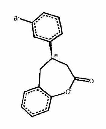 O=C1C[C@H](c2cccc(Br)c2)Cc2ccccc2O1